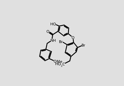 COc1cccc(CNC(=O)c2cc(Oc3c(Br)cc(CC(=O)O)cc3Br)ccc2O)c1